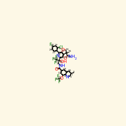 Cc1cnc2c(OC(F)(F)F)cc(C(=O)NCC(O)(c3cc4c(c(-c5ccc(F)cc5Cl)n3)OC[C@]4(C)C(N)=O)C(F)(F)F)cc2c1